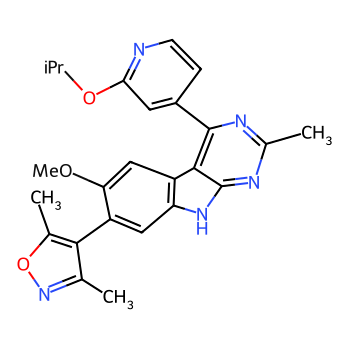 COc1cc2c(cc1-c1c(C)noc1C)[nH]c1nc(C)nc(-c3ccnc(OC(C)C)c3)c12